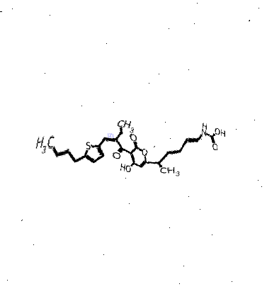 CCCCc1ccc(/C=C(/CC)C(=O)c2c(O)cc(C(C)CCC=CNC(=O)O)oc2=O)s1